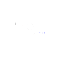 COc1ccc2c(c1)C(=O)C(=N)C2